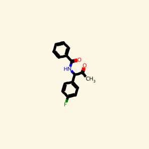 CC(=O)C(NC(=O)c1ccccc1)c1ccc(F)cc1